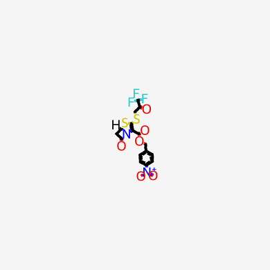 O=C(OCc1ccc([N+](=O)[O-])cc1)C1=C(SCC(=O)C(F)(F)F)S[C@H]2CC(=O)N12